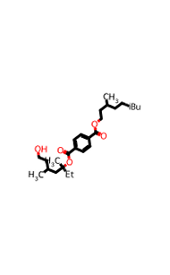 CCC(C)CCC(C)CCOC(=O)c1ccc(C(=O)OC(C)(CC)CC(C)CCO)cc1